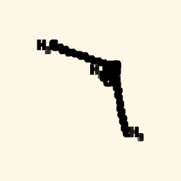 CCCCCCCCC=CCCCCCCCCOP(=O)(OCCCCCCCCC=CCCCCCCCC)N(C)CC(=O)O